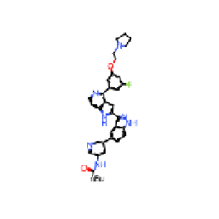 CCCCC(=O)Nc1cncc(-c2ccc3[nH]nc(-c4cc5c(-c6cc(F)cc(OCCN7CCCC7)c6)nccc5[nH]4)c3c2)c1